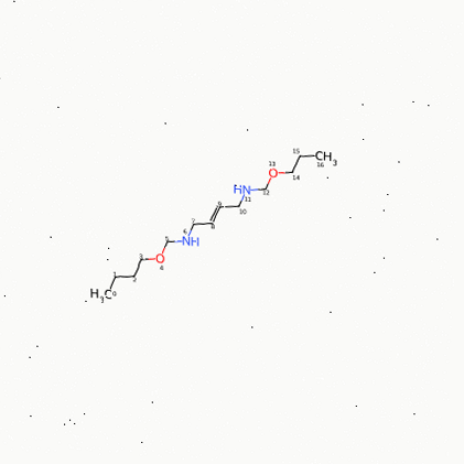 CCCCOCNCC=CCNCOCCC